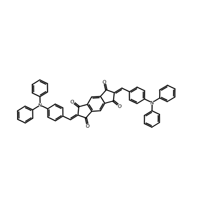 O=C1C(=Cc2ccc(N(c3ccccc3)c3ccccc3)cc2)C(=O)c2cc3c(cc21)C(=O)C(=Cc1ccc(N(c2ccccc2)c2ccccc2)cc1)C3=O